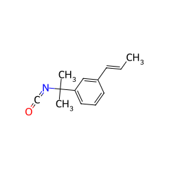 CC=Cc1cccc(C(C)(C)N=C=O)c1